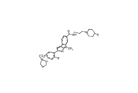 Cn1c2cc(C(=O)NCCCN3CCC(F)CC3)ccc2n2cc(-c3ccc([C@@H]4CCCN4C(=O)O)cc3F)nc12